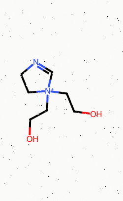 OCC[N+]1(CCO)C=NCC1